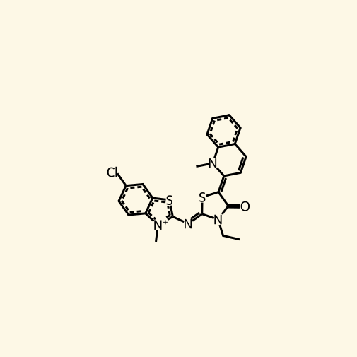 CCN1C(=O)/C(=C2\C=Cc3ccccc3N2C)S/C1=N\c1sc2cc(Cl)ccc2[n+]1C